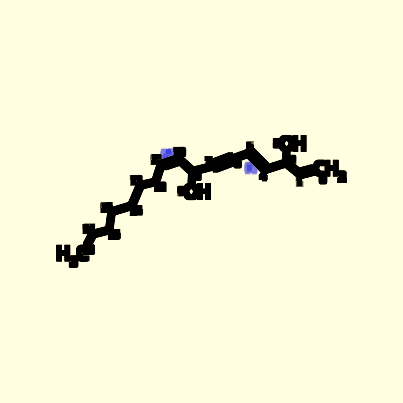 C=CC(O)/C=C/C#CC(O)/C=C\CCCCCCC